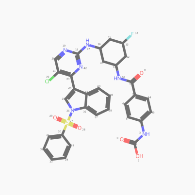 O=C(O)Nc1ccc(C(=O)NC2CC(F)CC(Nc3ncc(Cl)c(-c4cn(S(=O)(=O)c5ccccc5)c5ccccc45)n3)C2)cc1